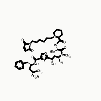 CC[C@H](C)[C@H](NC(=O)C1CCCCN1CCCCCCN1C(=O)C=CC1=O)C(=O)N(C)[C@H](C[C@@H](O)c1nc(C(=O)N[C@@H](Cc2ccccc2)C[C@H](C)C(=O)O)cs1)C(C)C